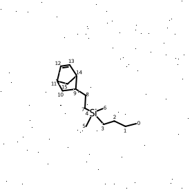 CCCC[Si](C)(C)CCC1CC2C=CC1C2